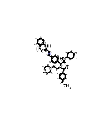 COc1ccc(C(=O)N(CCN2CCOCC2)C(C(=O)NC2CCCCC2)c2ccc(/C=C/C(=O)Nc3ccccc3N)cc2)cc1